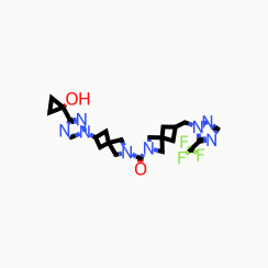 O=C(N1CC2(CC(Cn3ncnc3C(F)(F)F)C2)C1)N1CC2(CC(n3cnc(C4(O)CC4)n3)C2)C1